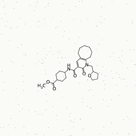 COC(=O)C1CCC(NC(=O)c2cc3c(n(CC4CCCO4)c2=O)CCCCCC3)CC1